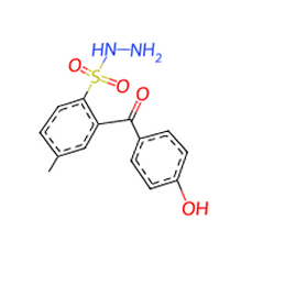 Cc1ccc(S(=O)(=O)NN)c(C(=O)c2ccc(O)cc2)c1